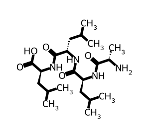 CC(C)C[C@H](NC(=O)[C@H](CC(C)C)NC(=O)[C@H](CC(C)C)NC(=O)[C@H](C)N)C(=O)O